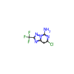 Nc1nc(Cl)cc2nc(C(F)(F)F)nn12